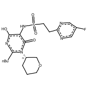 CCCCc1nc(O)c(NS(=O)(=O)CCc2ncc(F)cn2)c(=O)n1[C@H]1CCCOC1